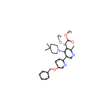 Cc1ncc(-c2ccc(OCc3ccccc3)cn2)c(N2CCC(C)(C)CC2)c1[C@H](OC(C)C)C(=O)OC(C)C